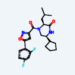 CC(C)C[C@H]1C(=O)N[C@@H](C2CCCC2)CN1C(=O)c1cc(-c2ccc(F)cc2F)on1